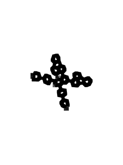 c1ccc2c(c1)-c1cccc3c(-c4cc(-c5ccc6c7c(cccc57)-c5ccccc5-6)c5nc(-c6ccc(-c7ccncc7)cc6)nc(-c6ccc(-c7ccncc7)cc6)c5c4)ccc-2c13